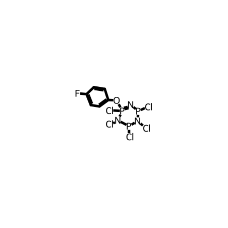 Fc1ccc(OP2(Cl)=NP(Cl)N(Cl)P(Cl)N2Cl)cc1